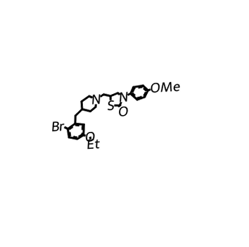 CCOc1ccc(Br)c(CC2CCN(CC3CN(c4ccc(OC)cc4)C(=O)S3)CC2)c1